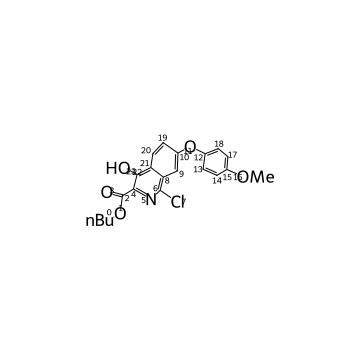 CCCCOC(=O)c1nc(Cl)c2cc(Oc3ccc(OC)cc3)ccc2c1O